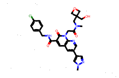 CN(CC1(CO)COC1)C(=O)Cn1c(=O)c(C(=O)NCc2ccc(Cl)cc2)cc2cc(-c3cnn(C)c3)cnc21